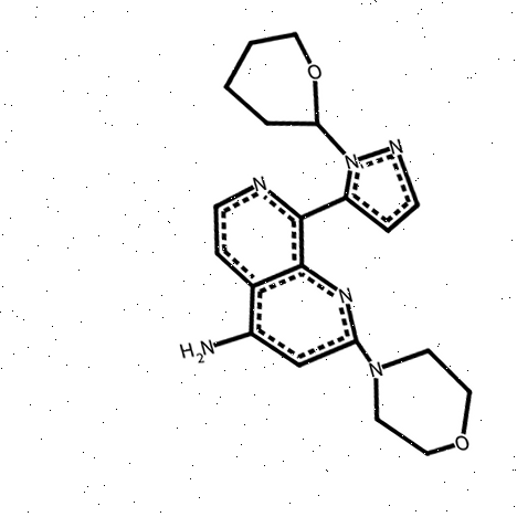 Nc1cc(N2CCOCC2)nc2c(-c3ccnn3C3CCCCO3)nccc12